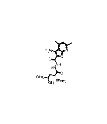 CCCCC[C@H](CN(O)C=O)C(=O)NNC(=O)c1oc2nc(C)cc(C)c2c1N